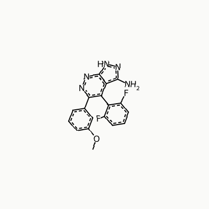 COc1cccc(-c2nnc3[nH]nc(N)c3c2-c2c(F)cccc2F)c1